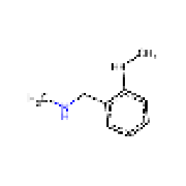 CBc1ccccc1CNC